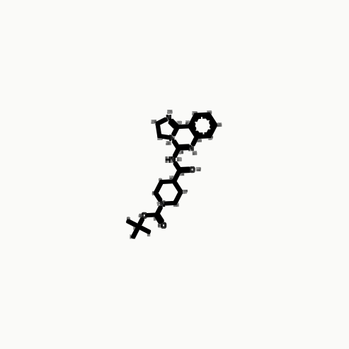 CC(C)(C)OC(=O)N1CCC(C(=O)NC2=Nc3ccccc3C3=NCCN23)CC1